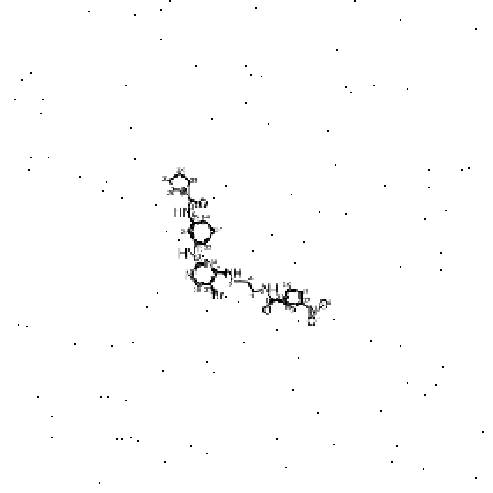 O=C(NCCCNc1nc(Nc2cccc(NC(=O)N3CCCC3)c2)ncc1Br)c1ccc([N+](=O)[O-])s1